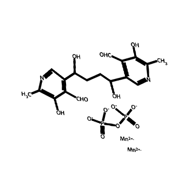 Cc1ncc(C(O)CCC(O)c2cnc(C)c(O)c2C=O)c(C=O)c1O.O=P([O-])([O-])OP(=O)([O-])[O-].[Mn+2].[Mn+2]